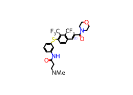 CNCCC(=O)Nc1cccc(Sc2ccc(/C=C/C(=O)N3CCOCC3)c(C(F)(F)F)c2C(F)(F)F)c1